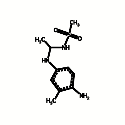 Cc1cc(NC(C)NS(C)(=O)=O)ccc1N